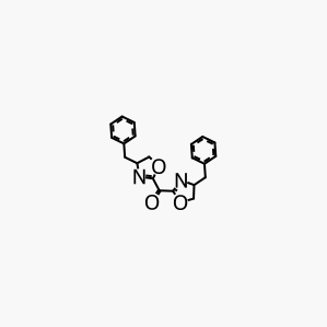 O=C(C1=NC(Cc2ccccc2)CO1)C1=NC(Cc2ccccc2)CO1